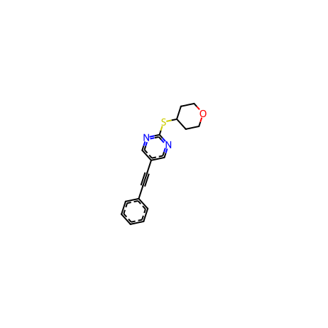 C(#Cc1cnc(SC2CCOCC2)nc1)c1ccccc1